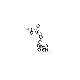 CC/C(=N\C(=N/c1ccc(-c2ccc3ccc(C4=CC(c5ccccc5)C(CC)C(c5ccccc5)=N4)cc3c2)cc1)c1ccccc1)c1ccccc1